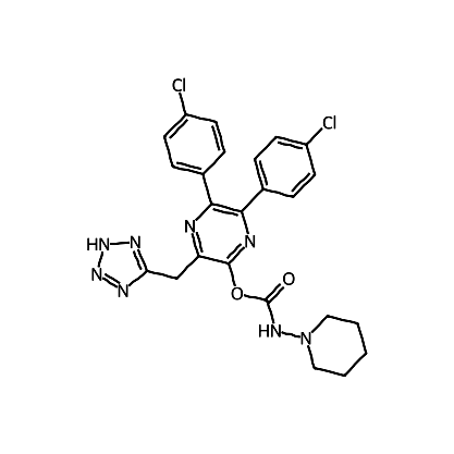 O=C(NN1CCCCC1)Oc1nc(-c2ccc(Cl)cc2)c(-c2ccc(Cl)cc2)nc1Cc1nn[nH]n1